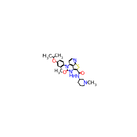 Cc1cc(OC(C)C)ccc1N1C(=O)Nc2c(C(=O)NC3CCCN(C)C3)sc3nccc1c23